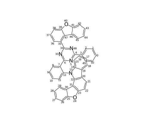 c1ccc(-c2nc(-c3ccccc3-n3c4ccccc4c4ccc5oc6ccccc6c5c43)nc(-c3cccc4oc5ccccc5c34)n2)cc1